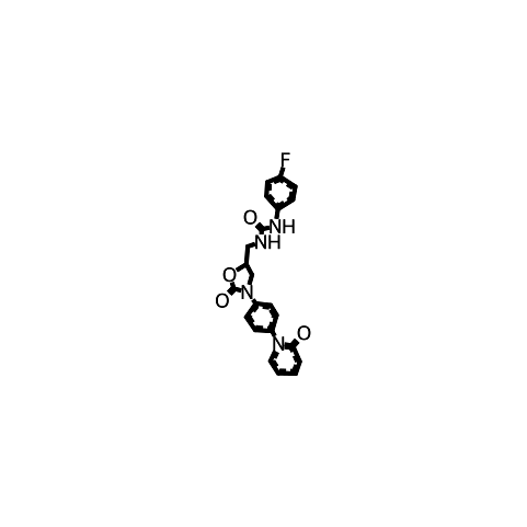 O=C(NCC1CN(c2ccc(-n3ccccc3=O)cc2)C(=O)O1)Nc1ccc(F)cc1